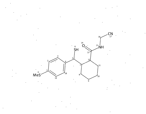 CSc1ccc(C(S)C2CCCCC2C(=O)NCC#N)cc1